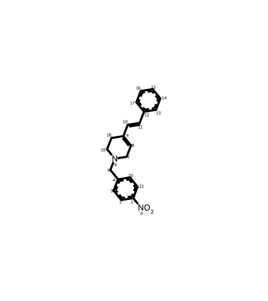 O=[N+]([O-])c1ccc(CN2CC=C(C=Cc3ccccc3)CC2)cc1